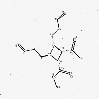 C=CCC[C@H]1[C@H](CCC=C)[C@H](C(C)=O)[C@@H]1C(=O)OC